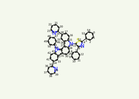 c1ccc(-c2nc(-c3ccccc3)c(-n3c4ccc(-c5ccccn5)cc4c4c3ccc3c5cc(-c6ccccn6)ccc5n(-c5ccccc5)c34)s2)cc1